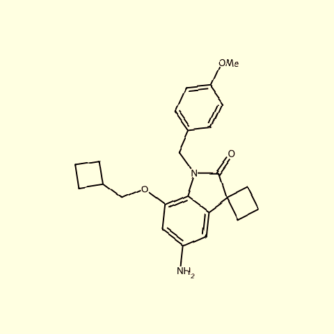 COc1ccc(CN2C(=O)C3(CCC3)c3cc(N)cc(OCC4CCC4)c32)cc1